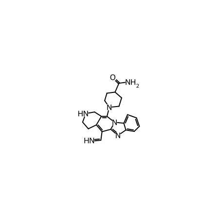 N=Cc1c2c(c(N3CCC(C(N)=O)CC3)n3c1nc1ccccc13)CNCC2